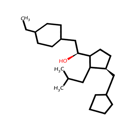 CCC1CCC(C[C@H](O)C2CC[C@@H](CC3CCCC3)C2CC(C)C)CC1